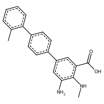 CNc1c(N)cc(-c2ccc(-c3ccccc3C)cc2)cc1C(=O)O